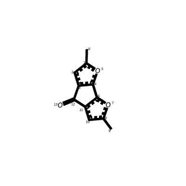 Cc1cc2c(o1)-c1oc(C)cc1C2=O